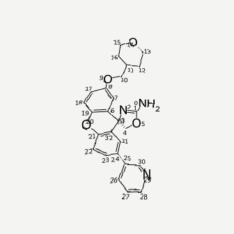 NC1=N[C@]2(CO1)c1cc(OCC3CCOCC3)ccc1Oc1ccc(-c3cccnc3)cc12